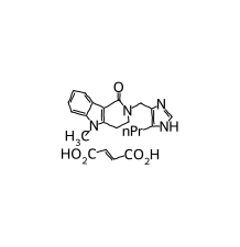 CCCc1[nH]cnc1CN1CCc2c(c3ccccc3n2C)C1=O.O=C(O)C=CC(=O)O